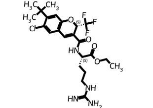 CCOC(=O)[C@H](CCCNC(=N)N)NC(=O)C1=Cc2cc(Cl)c(C(C)(C)C)cc2O[C@@H]1C(F)(F)F